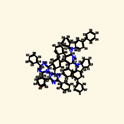 c1ccc(-c2ccc3c(c2)c2ccccc2n3-c2nc(-n3c4ccccc4c4cc(-c5ccccc5)ccc43)c(-c3ccccc3)c(-c3ccc(-c4nc(-c5ccccc5)nc(-c5ccccc5)n4)c(-c4nc(-c5ccccc5)nc(-c5ccccc5)n4)c3)c2-c2ccccc2)cc1